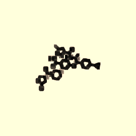 Cc1cc(C(=O)N[C@@H](C)[C@H](Oc2ccc(C(=O)O)c([C@@H]3CCCN(C(=O)[C@H]4COC(=O)C4)C3)c2)c2ccc(C3CC3)cc2)no1